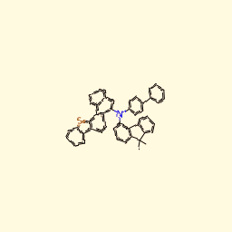 CC1(C)c2ccccc2-c2c(N(c3ccc(-c4ccccc4)cc3)c3cc4ccccc4c4c3ccc3c5ccccc5sc34)cccc21